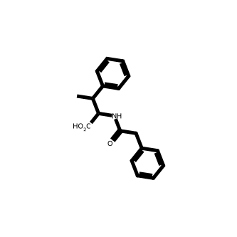 CC(c1ccccc1)C(NC(=O)Cc1ccccc1)C(=O)O